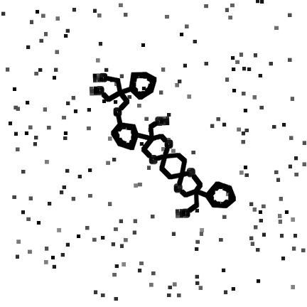 OCC(CO)(COc1cccc(C2(CO)COC3(CCC4(CC3)OCC(CO)(c3ccccc3)CO4)OC2)c1)c1ccccc1